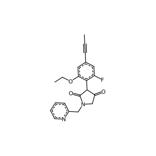 CC#Cc1cc(F)c(C2C(=O)CN(Cc3ccccn3)C2=O)c(OCC)c1